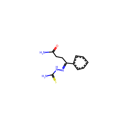 NC(=O)CCC(=NNC(N)=S)c1ccccc1